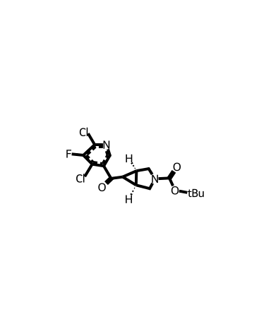 CC(C)(C)OC(=O)N1C[C@@H]2C(C(=O)c3cnc(Cl)c(F)c3Cl)[C@@H]2C1